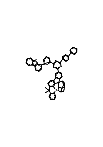 CC1(C)c2ccccc2Oc2c1ccc1c2C2(c3ccc(-c4nc(-c5ccc(-c6ccccc6)cc5)nc(-c5cccc(-c6cccc7c6oc6ccccc67)c5)n4)cc3-1)C1CC3CC(C1)CC2C3